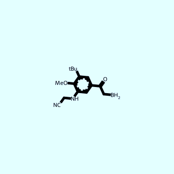 BCC(=O)c1cc(NCC#N)c(OC)c(C(C)(C)C)c1